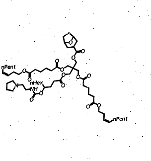 CCCCC/C=C\CCOC(=O)CCCCC(=O)OCC(COC(=O)CCCCC(=O)OCC/C=C\CCCCC)(COC(=O)CCC(CCCCCC)OC(=O)NCCN1CCCC1)COC(=O)C1CC2CCC(C1)O2